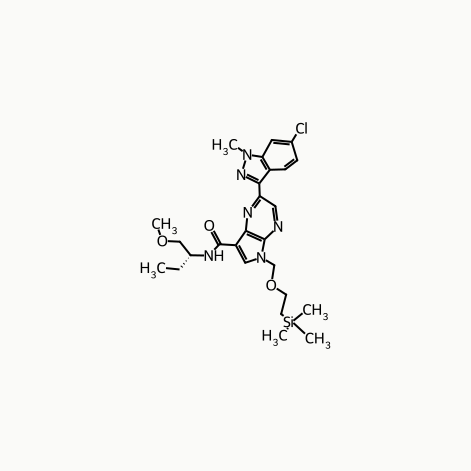 CC[C@H](COC)NC(=O)c1cn(COCC[Si](C)(C)C)c2ncc(-c3nn(C)c4cc(Cl)ccc34)nc12